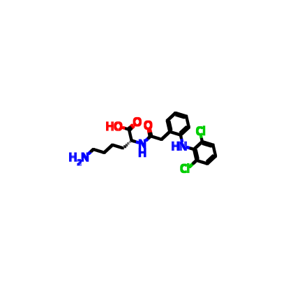 NCCCC[C@@H](NC(=O)Cc1ccccc1Nc1c(Cl)cccc1Cl)C(=O)O